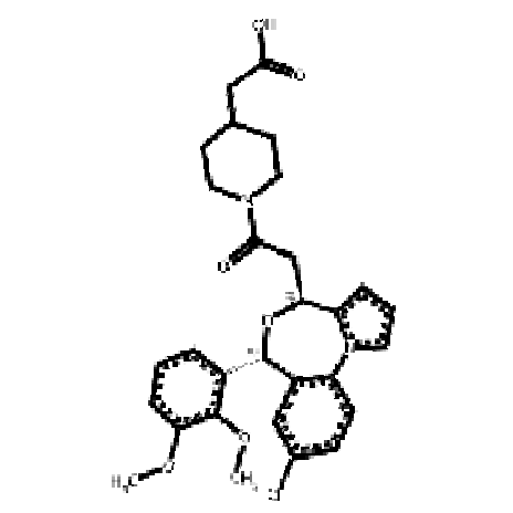 COc1cccc([C@@H]2O[C@@H](CC(=O)N3CCC(CC(=O)O)CC3)c3cccn3-c3ccc(Cl)cc32)c1OC